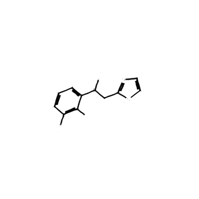 Cc1c(Cl)cccc1C(O)Cc1ncc[nH]1